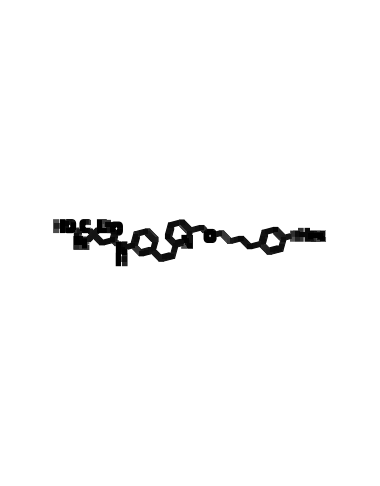 CCCCCCc1ccc(CCCCOCc2cccc(/C=C\c3cccc(NC(=O)CC(CC)(CC)C(=O)O)c3)n2)cc1